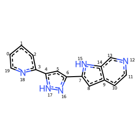 c1ccc(-c2cc(-c3cc4ccncc4[nH]3)n[nH]2)nc1